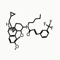 CCCCCN(C(=O)/C=C/c1cccc(C(F)(F)F)c1)C1CC[C@@]2(O)[C@H]3Cc4ccc(OC)c5c4[C@@]2(CCN3CC2CC2)C1O5